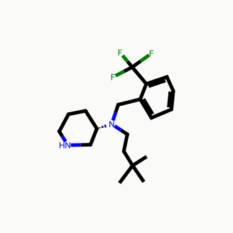 CC(C)(C)CCN(Cc1ccccc1C(F)(F)F)[C@H]1CCCNC1